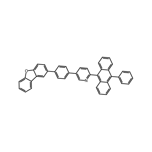 c1ccc(-c2c3ccccc3c(-c3ccc(-c4ccc(-c5ccc6oc7ccccc7c6c5)cc4)cn3)c3ccccc23)cc1